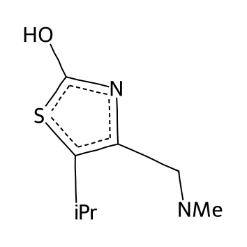 CNCc1nc(O)sc1C(C)C